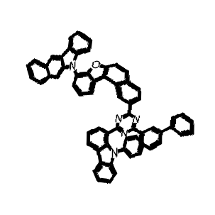 c1ccc(-c2cccc(-c3nc(-c4ccc5ccc6oc7c(-n8c9ccccc9c9cc%10ccccc%10cc98)cccc7c6c5c4)nc(-c4cccc5c6ccccc6n(-c6ccccc6)c45)n3)c2)cc1